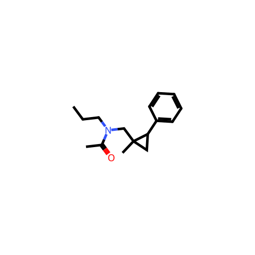 CCCN(CC1(C)CC1c1ccccc1)C(C)=O